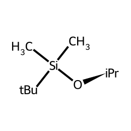 [CH2][C@H](C)O[Si](C)(C)C(C)(C)C